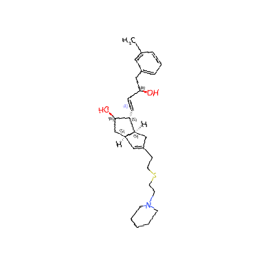 Cc1cccc(C[C@@H](O)/C=C/[C@@H]2[C@H]3CC(CCSCCN4CCCCC4)=C[C@H]3C[C@H]2O)c1